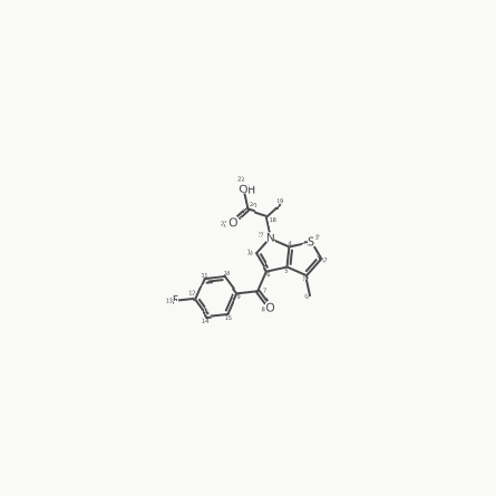 Cc1csc2c1c(C(=O)c1ccc(F)cc1)cn2C(C)C(=O)O